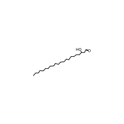 CCCCCCCCCCCCCCCCCCCC(O)CC=O